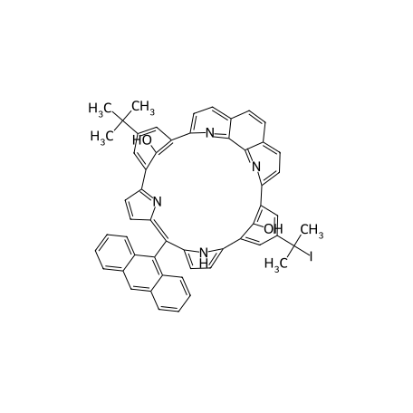 CC(C)(C)c1cc2c3nc(c(-c4c5ccccc5cc5ccccc45)c4ccc([nH]4)c4cc(C(C)(C)I)cc(c4O)c4ccc5ccc6ccc(nc6c5n4)c(c1)c2O)C=C3